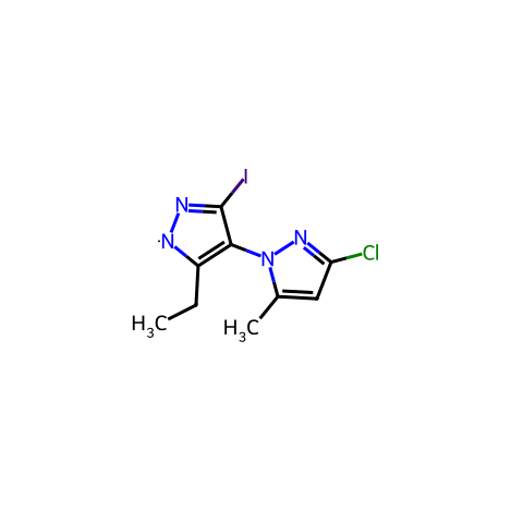 CCC1=C(n2nc(Cl)cc2C)C(I)=N[N]1